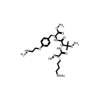 CC(=O)NCCCC[C@H](N=P)C(=O)N[C@H](C(=O)N[C@@H](Cc1ccc(OCCNP)cc1)C(=O)OP)C(C)(C)SP